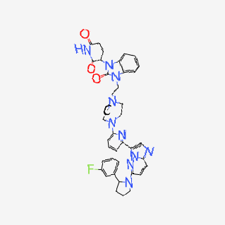 O=C1CCC(n2c(=O)n(CCN3CCN(c4cccc(-c5cnc6ccc(N7CCCC7c7cccc(F)c7)nn56)n4)CC3)c3ccccc32)C(=O)N1